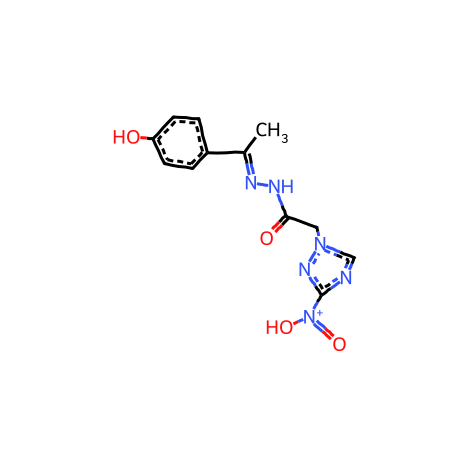 C/C(=N\NC(=O)Cn1cnc([N+](=O)O)n1)c1ccc(O)cc1